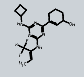 CC=C(Nc1nc(NC2CCC2)nc(C2=CC(O)CCC2)n1)C(F)(F)F